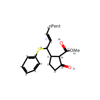 CCCCC/C=C/C(Sc1ccccc1)C1CCC(=O)C1C(=O)OC